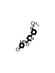 CCOc1cccc(-c2ccc(C(=O)Nc3ccc(Cl)cc3)cn2)c1